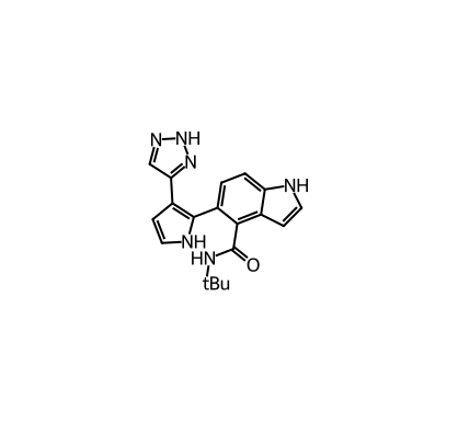 CC(C)(C)NC(=O)c1c(-c2[nH]ccc2-c2cn[nH]n2)ccc2[nH]ccc12